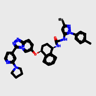 Cc1ccc(-n2nc(C(C)(C)C)cc2NC(=O)N[C@H]2CC[C@@H](Oc3ccc4nnc(-c5ccnc(N6CCCC6)c5)n4c3)c3ccccc32)cc1